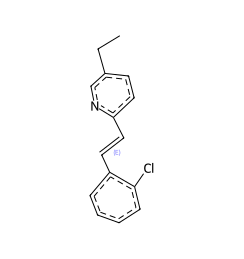 CCc1ccc(/C=C/c2ccccc2Cl)nc1